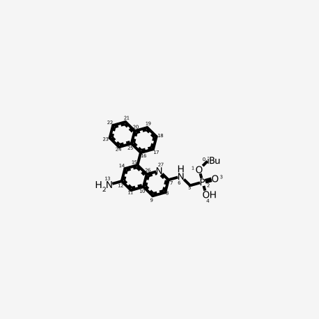 CCC(C)OP(=O)(O)CNc1ccc2cc(N)cc(-c3cccc4ccccc34)c2n1